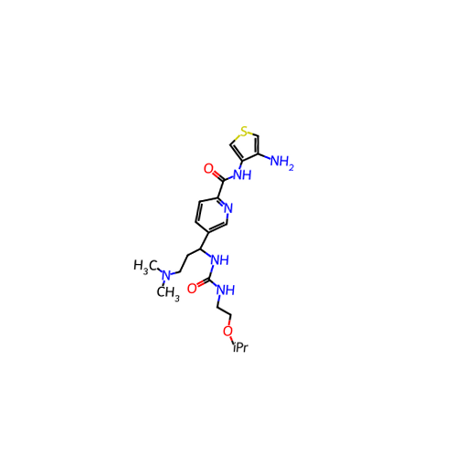 CC(C)OCCNC(=O)NC(CCN(C)C)c1ccc(C(=O)Nc2cscc2N)nc1